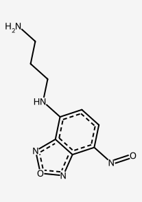 NCCCNc1ccc(N=O)c2nonc12